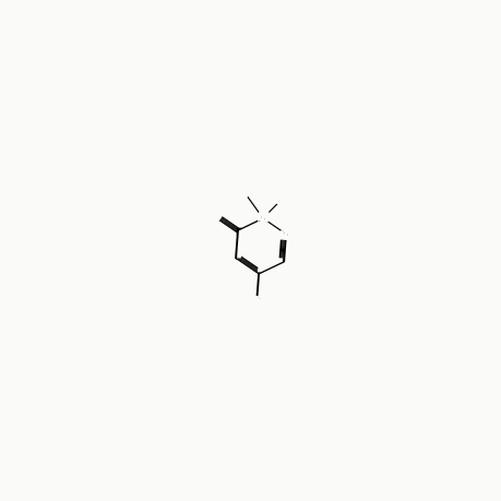 C[N+]1([O])N=CC(Cl)=CC1=O